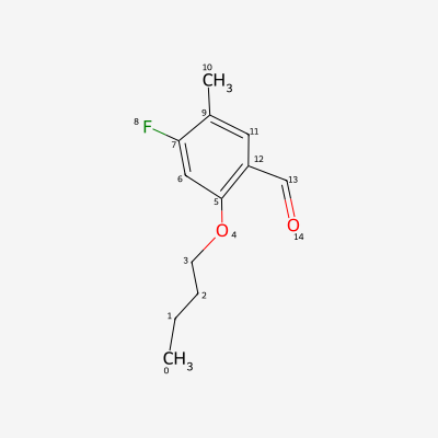 CCCCOc1cc(F)c(C)cc1C=O